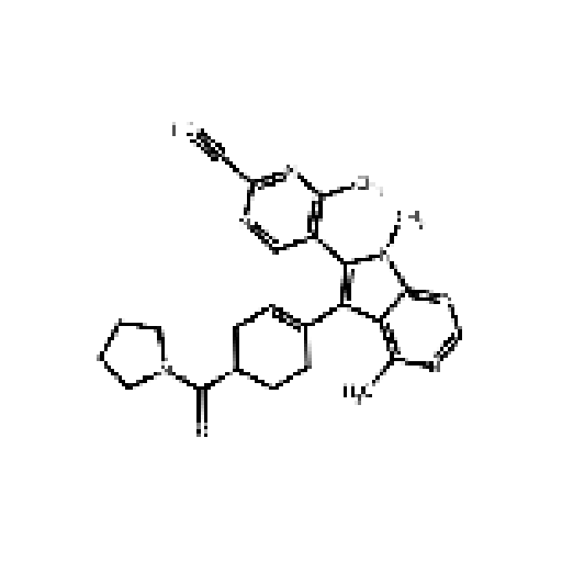 C#Cc1ncc(-c2c(C3=CC[C@H](C(=O)N4CCCC4)CC3)c3c(C)ncnc3n2C)c(C)n1